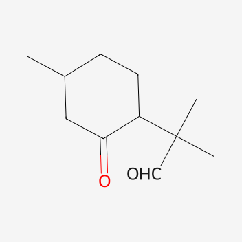 CC1CCC(C(C)(C)C=O)C(=O)C1